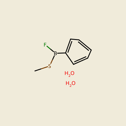 CSB(F)c1ccccc1.O.O